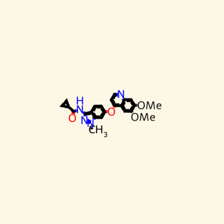 COc1cc2nccc(Oc3ccc4c(NC(=O)C5CC5)nn(C)c4c3)c2cc1OC